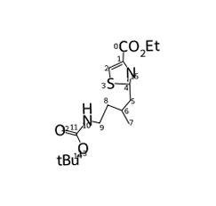 CCOC(=O)c1csc(CC(C)CCNC(=O)OC(C)(C)C)n1